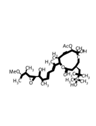 CO[C@@H](C)[C@@H](C)[C@H]1O[C@@H]1C(O)C(C)/C=C/C=C(\C)C1OC(=O)C[C@H](CC(C)(C)[Si](C)(C)O)CC[C@@](C)(O)[C@@H](OC(C)=O)/C=C/[C@@H]1C